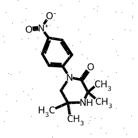 CC1(C)CN(c2ccc([N+](=O)[O-])cc2)C(=O)C(C)(C)N1